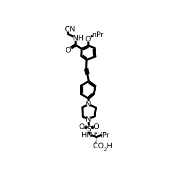 CCCOc1ccc(C#Cc2ccc(N3CCN(S(=O)(=O)N[C@@H](C(=O)O)C(C)C)CC3)cc2)cc1C(=O)NCC#N